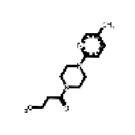 CCCC(=O)N1CCN(c2ccc(C)cn2)CC1